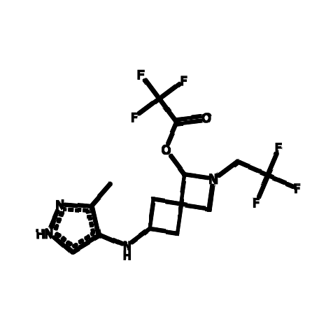 Cc1n[nH]cc1NC1CC2(C1)CN(CC(F)(F)F)C2OC(=O)C(F)(F)F